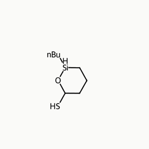 CCCC[SiH]1CCCC(S)O1